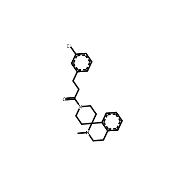 CN1CCc2ccccc2C12CCN(C(=O)CCc1cccc(Cl)c1)CC2